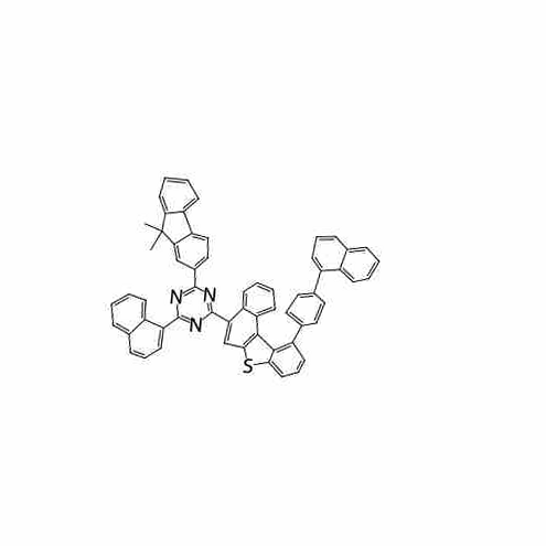 CC1(C)c2ccccc2-c2ccc(-c3nc(-c4cccc5ccccc45)nc(-c4cc5sc6cccc(-c7ccc(-c8cccc9ccccc89)cc7)c6c5c5ccccc45)n3)cc21